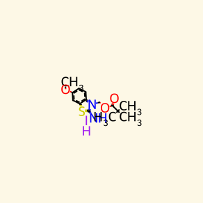 COc1ccc2c(c1)sc(=N)n2COC(=O)C(C)(C)C.I